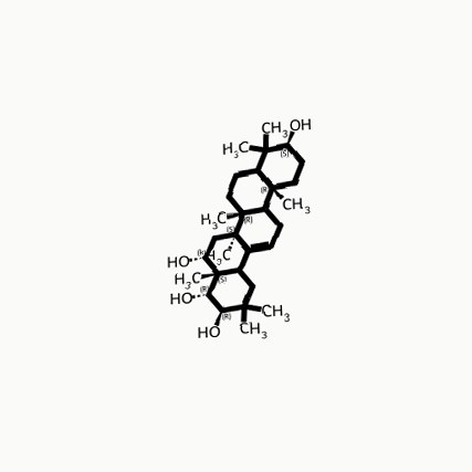 CC1(C)CC2C3=CCC4[C@@]5(C)CC[C@H](O)C(C)(C)C5CC[C@@]4(C)[C@]3(C)C[C@@H](O)[C@@]2(C)[C@@H](O)[C@@H]1O